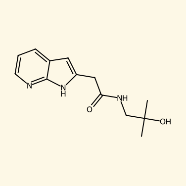 CC(C)(O)CNC(=O)Cc1cc2cccnc2[nH]1